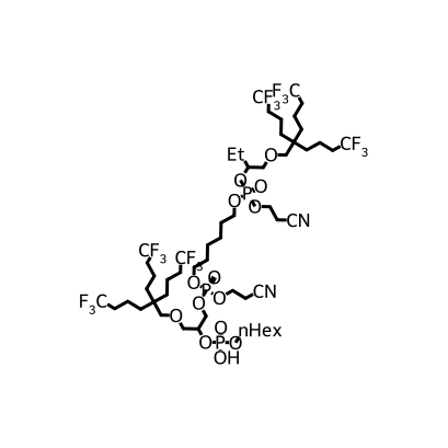 CCCCCCOP(=O)(O)OC(COCC(CCCC(F)(F)F)(CCCC(F)(F)F)CCCC(F)(F)F)COP(=O)(OCCC#N)OCCCCCCOP(=O)(OCCC#N)OC(CC)COCC(CCCC(F)(F)F)(CCCC(F)(F)F)CCCC(F)(F)F